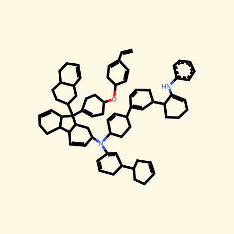 C=CC1=CCC(OC2CC=C(C3(C4CCC5CCC=CC5C4)C4C=CCCC4C4C=CC(N(C5=CC(C6CC=CCC6)CC=C5)C5C=CC(C6=CC(C7CCCC=C7Nc7ccccc7)CC=C6)CC5)CC43)CC2)C=C1